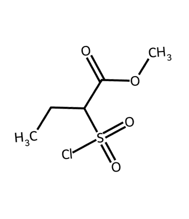 CCC(C(=O)OC)S(=O)(=O)Cl